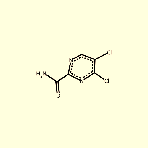 NC(=O)c1ncc(Cl)c(Cl)n1